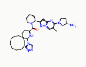 Cc1cn2nc([C@@H]3CCCCN3C(=O)C3CCC4(CCCCCCCCC4)C(n4cnnc4)N3)cc2nc1N1CC[C@H](N)C1